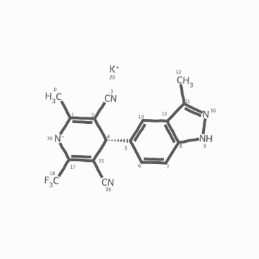 CC1=C(C#N)[C@H](c2ccc3[nH]nc(C)c3c2)C(C#N)=C(C(F)(F)F)[N-]1.[K+]